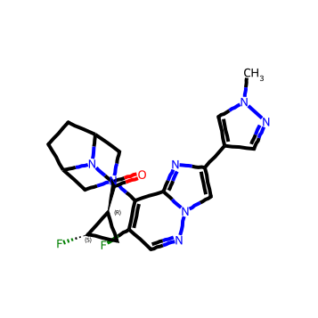 Cn1cc(-c2cn3ncc(F)c(N4CC5CCC(C4)N5C(=O)[C@H]4C[C@@H]4F)c3n2)cn1